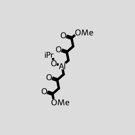 COC(=O)CC(=O)[CH2][Al]([CH2]C(=O)CC(=O)OC)[O]C(C)C